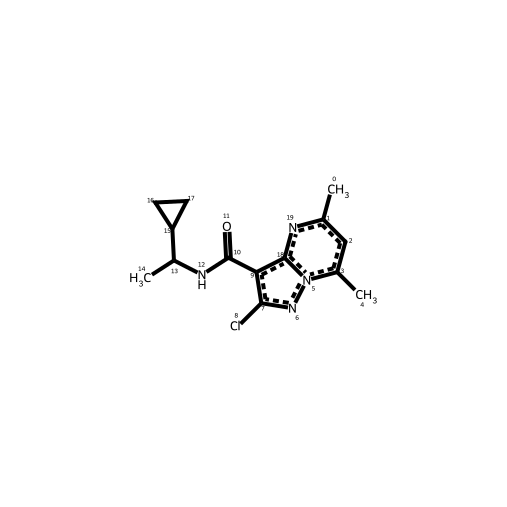 Cc1cc(C)n2nc(Cl)c(C(=O)NC(C)C3CC3)c2n1